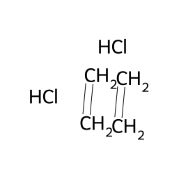 C=C.C=C.Cl.Cl